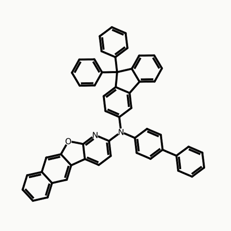 c1ccc(-c2ccc(N(c3ccc4c(c3)-c3ccccc3C4(c3ccccc3)c3ccccc3)c3ccc4c(n3)oc3cc5ccccc5cc34)cc2)cc1